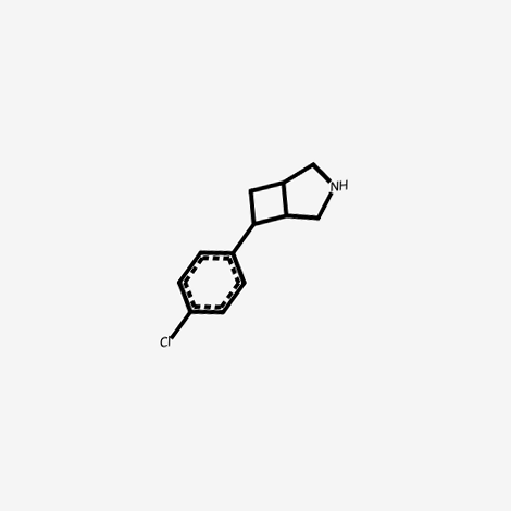 Clc1ccc(C2CC3CNCC32)cc1